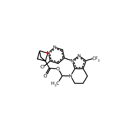 CC(OC(=O)C12CC(C1)C2)N1CCCc2c(C(F)(F)F)nn(-c3cnnc(Cl)c3)c21